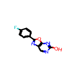 Oc1ncc2nc(-c3ccc(F)cc3)oc2n1